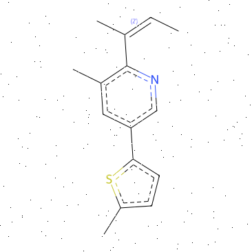 C/C=C(/C)c1ncc(-c2ccc(C)s2)cc1C